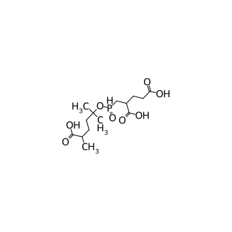 CC(CCC(C)(C)O[PH](=O)CC(CCC(=O)O)C(=O)O)C(=O)O